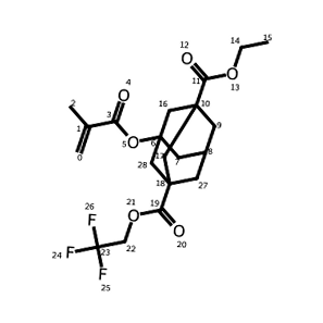 C=C(C)C(=O)OC12CC3CC(C(=O)OCC)(C1)CC(C(=O)OCC(F)(F)F)(C3)C2